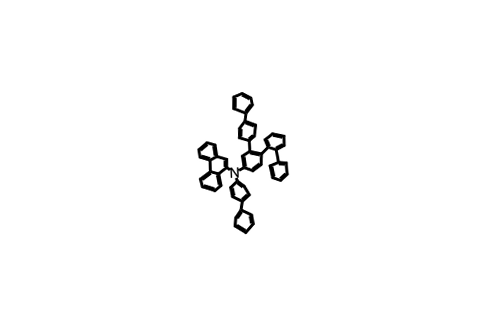 c1ccc(-c2ccc(-c3cc(N(c4ccc(-c5ccccc5)cc4)c4cc5ccccc5c5ccccc45)ccc3-c3ccccc3-c3ccccc3)cc2)cc1